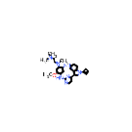 COc1cc(N(C)CCN(C)C)c(N)cc1Nc1nccc(-c2cn(C34CC(C3)C4)c3ccccc23)n1